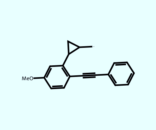 [CH2]C1CC1c1cc(OC)ccc1C#Cc1ccccc1